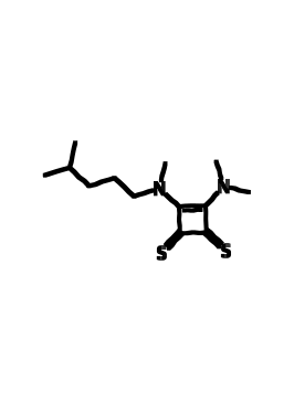 CC(C)CCCN(C)c1c(N(C)C)c(=S)c1=S